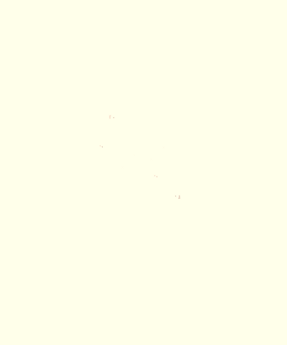 Clc1cnc2[nH]ccc2c1C1=NC(NC2CCCC2)CC=C1